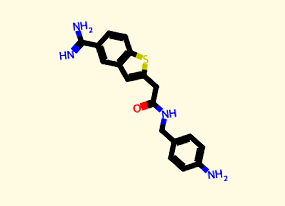 N=C(N)c1ccc2sc(CC(=O)NCc3ccc(N)cc3)cc2c1